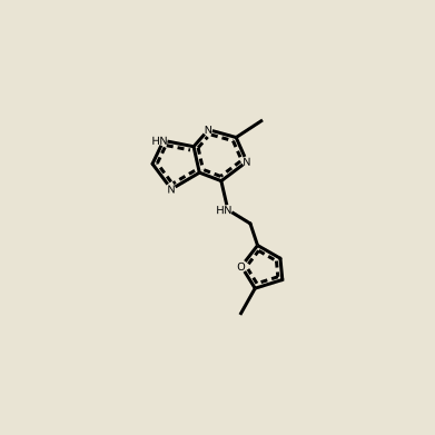 Cc1nc(NCc2ccc(C)o2)c2nc[nH]c2n1